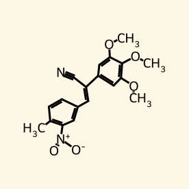 COc1cc(/C(C#N)=C/c2ccc(C)c([N+](=O)[O-])c2)cc(OC)c1OC